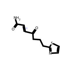 NC(=O)/C=C/C(=O)CCCc1nccs1